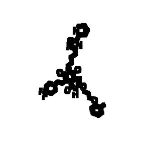 Cc1ccccc1OCCCOc1nc2c(=O)n(CCCCc3noc(-c4ccccn4)n3)c(=O)n(CCC3CCC(F)(F)CC3)c2c(=O)[nH]1